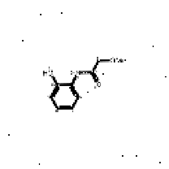 COCC(=O)Nc1ccccc1O